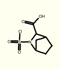 O=C(O)C1C2CCC(C2)N1S(=O)(=O)Cl